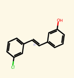 Oc1cccc(/C=C/c2cccc(Cl)c2)c1